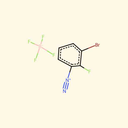 F[B-](F)(F)F.N#[N+]c1cccc(Br)c1F